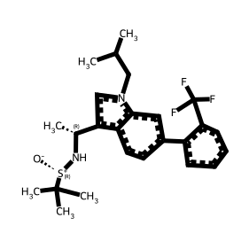 CC(C)Cn1cc([C@@H](C)N[S@@+]([O-])C(C)(C)C)c2ccc(-c3ccccc3C(F)(F)F)cc21